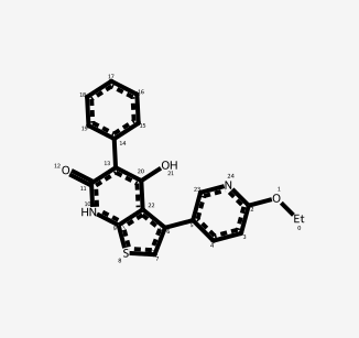 CCOc1ccc(-c2csc3[nH]c(=O)c(-c4ccccc4)c(O)c23)cn1